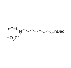 CCCCCCCCCCCCCCCCCCN(CCCCCCCC)CC(=O)O